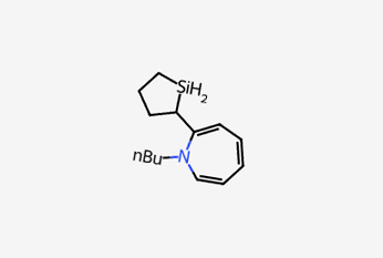 CCCCN1C=CC=CC=C1C1CCC[SiH2]1